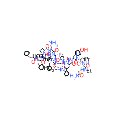 CCC[C@@H](C(=O)N1CCC[C@@H]1C(=O)N[C@@H](CCN)C(=O)N[C@H](C(=O)N(C)[C@@H](Cc1ccccc1)C(=O)N[C@@H](CC(=O)O)C(=O)N1CCC[C@@H]1C(=O)N[C@@H](Cc1c[nH]c2ccccc12)C(=O)N[C@@H](Cc1ccc(O)cc1)C(=O)N[C@@H](CC(C)C)C(=O)N[C@@H](CSCC(N)=O)C(=O)NCC)C(C)C)N(C)C(=O)[C@H](Cc1ccccc1)N(C)C(=O)CCc1ccccc1